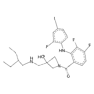 CCC(CC)CNCC1(O)CN(C(=O)c2ccc(F)c(F)c2Nc2ccc(I)cc2F)C1